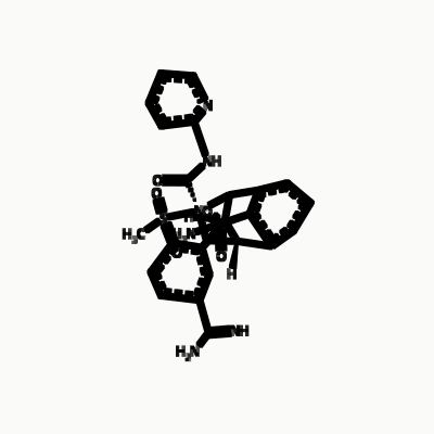 CS(=O)(=O)[N@+]1(C(=O)Nc2ccccn2)C[C@H]2c3cccc(c3S(N)(=O)=O)C1[C@H]2c1cccc(C(=N)N)c1